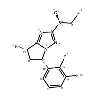 [O-][S@@+](CF)c1nc2n(n1)[C@H](c1cccc(F)c1F)C[C@@H]2F